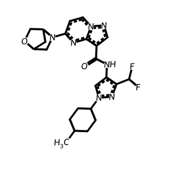 CC1CCC(n2cc(NC(=O)c3cnn4ccc(N5CC6CC5CO6)nc34)c(C(F)F)n2)CC1